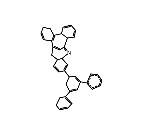 C1=CCCC(C2=CC(c3ccccc3)=CC(C3=CC4N=C5C=C(CC4C=C3)C3=C(CCC=C3)C3C=CC=CC53)C2)=C1